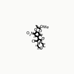 COC(=O)C(C)Oc1cc(F)c(-c2c(Cl)n3n(c2=O)CCOCC3)cc1[N+](=O)[O-]